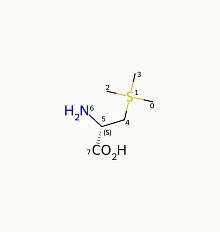 CS(C)(C)C[C@@H](N)C(=O)O